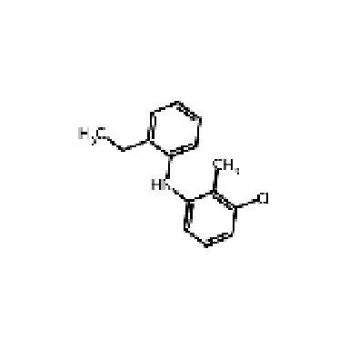 CCc1ccccc1Nc1cccc(Cl)c1C